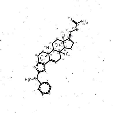 CN(c1ccccc1)c1nc2c(s1)C1=CC[C@@H]3[C@H](CC[C@]4(C)/C(=N/NC(N)=S)CC[C@@H]34)[C@@]1(C)CC2